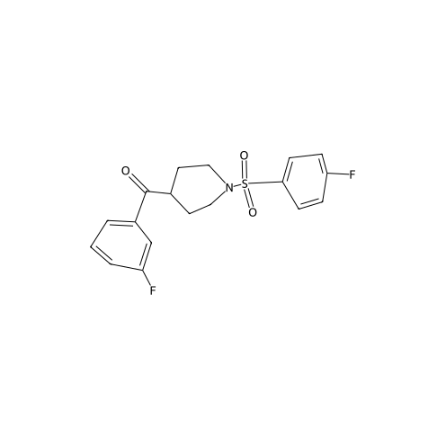 O=C(c1cccc(F)c1)C1CCN(S(=O)(=O)c2ccc(F)cc2)CC1